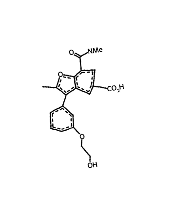 CNC(=O)c1cc(C(=O)O)cc2c(-c3cccc(OCCO)c3)c(C)oc12